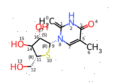 C=C1NC(=O)C(C)=CN1[C@@H]1S[C@H](CO)C(O)[C@@H]1O